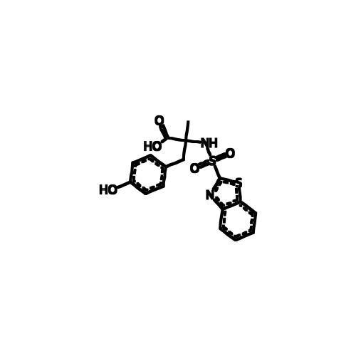 CC(Cc1ccc(O)cc1)(NS(=O)(=O)c1nc2ccccc2s1)C(=O)O